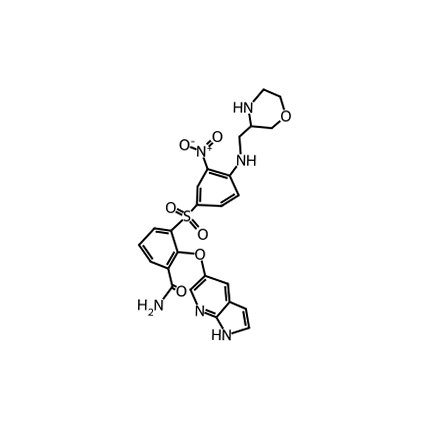 NC(=O)c1cccc(S(=O)(=O)c2ccc(NCC3COCCN3)c([N+](=O)[O-])c2)c1Oc1cnc2[nH]ccc2c1